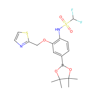 CC1(C)OB(c2ccc(NS(=O)(=O)C(F)F)c(OCc3nccs3)c2)OC1(C)C